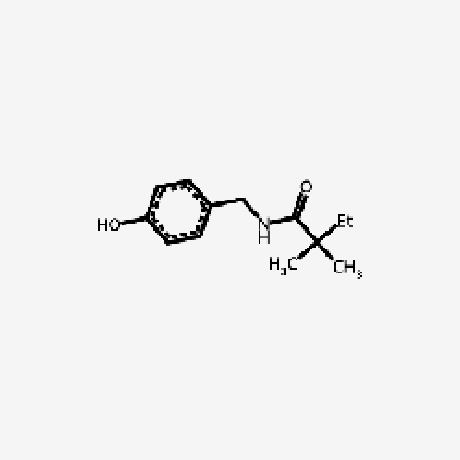 CCC(C)(C)C(=O)NCc1ccc(O)cc1